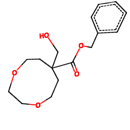 O=C(OCc1ccccc1)C1(CO)CCOCCOCC1